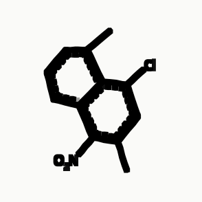 Cc1cc(Cl)c2c(C)cccc2c1[N+](=O)[O-]